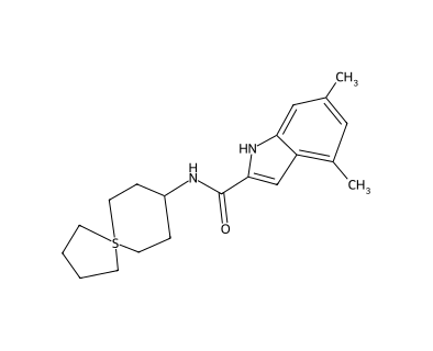 Cc1cc(C)c2cc(C(=O)NC3CCS4(CCCC4)CC3)[nH]c2c1